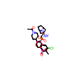 CC(=O)N1CCC(C(=O)N(CCCN2C3CCC2CC(NS(=O)(=O)c2cccc([N+](=O)[O-])c2)C3)c2ccc(C)c(Cl)c2)CC1